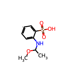 COC(C)Nc1cc[c]cc1S(=O)(=O)O